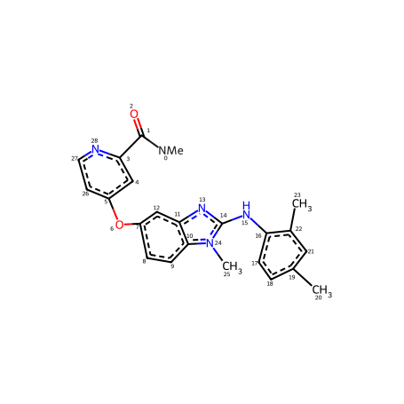 CNC(=O)c1cc(Oc2ccc3c(c2)nc(Nc2ccc(C)cc2C)n3C)ccn1